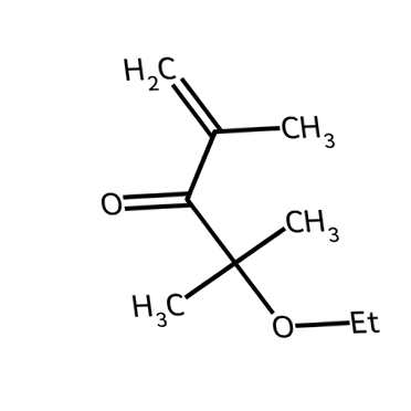 C=C(C)C(=O)C(C)(C)OCC